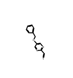 S=Cc1ncc(OCc2ccccc2)cn1